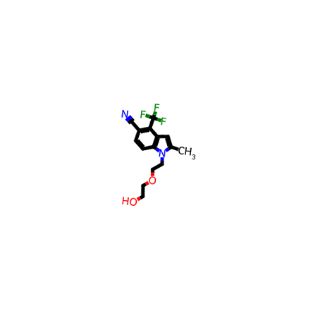 Cc1cc2c(C(F)(F)F)c(C#N)ccc2n1CCOCCO